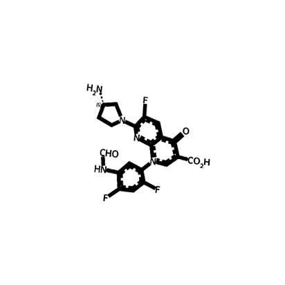 N[C@H]1CCN(c2nc3c(cc2F)c(=O)c(C(=O)O)cn3-c2cc(NC=O)c(F)cc2F)C1